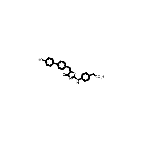 O=C(O)Cc1ccc(NC2=NC(=O)/C(=C\c3ccc(-c4ccc(O)cc4)cc3)S2)cc1